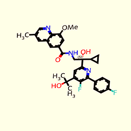 COc1cc(C(=O)NC[C@](O)(c2cc(C(C)(C)O)c(F)c(-c3ccc(F)cc3)n2)C2CC2)cc2cc(C)cnc12